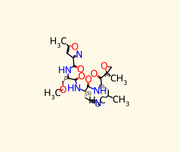 COC[C@H](NC(=O)c1cc(C)on1)C(=O)N[C@@H](CC#N)C(=O)N[C@@H](CC(C)C)C(=O)[C@@]1(C)CO1